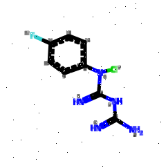 N=C(N)NC(=N)N(Cl)c1ccc(F)cc1